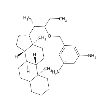 CCC(OCc1cc(N)cc(N)c1)[C@@H](C)[C@H]1CC[C@H]2[C@@H]3CCC4CCCC[C@]4(C)[C@H]3CC[C@]12C